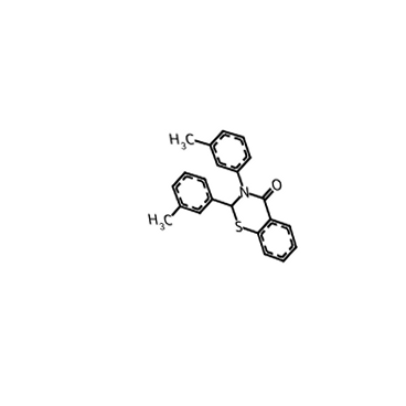 Cc1cccc(C2Sc3ccccc3C(=O)N2c2cccc(C)c2)c1